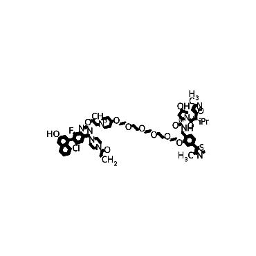 C=CC(=O)N1CCN(c2nc(O[C@H](C)CN3CCC(OCCOCCOCCOCCOCCOc4cc(-c5scnc5C)ccc4CNC(=O)[C@@H]4C[C@@H](O)CN4C(=O)[C@H](c4cc(C)no4)C(C)C)CC3)nc3c(F)c(-c4cc(O)cc5ccccc45)c(Cl)cc23)CC1